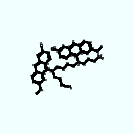 COc1ccc2nc3cc(Cl)ccc3c(N(CCCN)CCCCN(CCCN)c3c4ccc(Cl)cc4nc4ccc(OC)cc34)c2c1